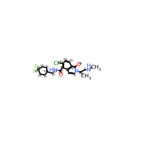 CNC[C@@H](C)n1ccc2c(C(=O)NCC3CCC(F)(F)CC3)c(Cl)ccc2c1=O